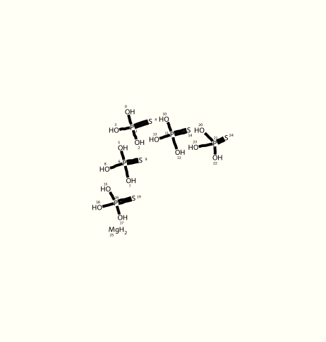 OP(O)(O)=S.OP(O)(O)=S.OP(O)(O)=S.OP(O)(O)=S.OP(O)(O)=S.[MgH2]